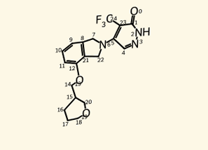 O=c1[nH]ncc(N2Cc3cccc(OCC4CCCOC4)c3C2)c1C(F)(F)F